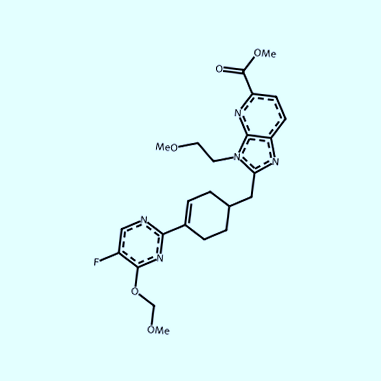 COCCn1c(CC2CC=C(c3ncc(F)c(OCOC)n3)CC2)nc2ccc(C(=O)OC)nc21